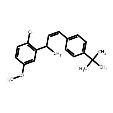 COc1ccc(O)c(C(C)/C=C\c2ccc(C(C)(C)C)cc2)c1